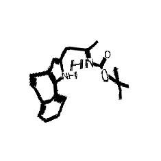 CC(Cc1cc2ccc3ccccc3c2[nH]1)NC(=O)OC(C)(C)C